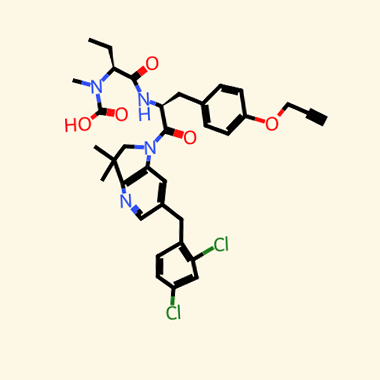 C#CCOc1ccc(C[C@H](NC(=O)[C@H](CC)N(C)C(=O)O)C(=O)N2CC(C)(C)c3ncc(Cc4ccc(Cl)cc4Cl)cc32)cc1